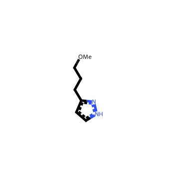 COCCCc1c[c][nH]n1